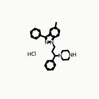 Cc1ccc2c(c1)c(-c1ccccc1)nn2CCC(c1ccccc1)N1CCNCC1.Cl